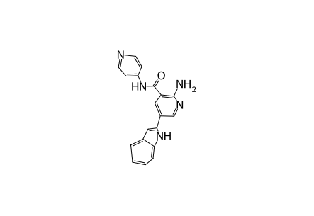 Nc1ncc(-c2cc3ccccc3[nH]2)cc1C(=O)Nc1ccncc1